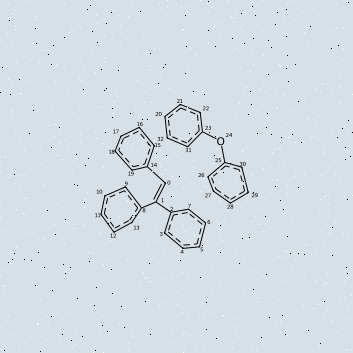 C(=C(c1ccccc1)c1ccccc1)c1ccccc1.c1ccc(Oc2ccccc2)cc1